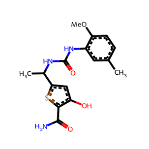 COc1ccc(C)cc1NC(=O)NC(C)c1cc(O)c(C(N)=O)s1